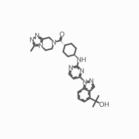 Cc1nnc2n1CCN(C(=O)[C@H]1CC[C@H](Nc3nccc(-n4ncc5c(C(C)(C)O)cccc54)n3)CC1)C2